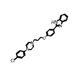 Clc1ccc(N2CCN(CCCOc3ccc(-c4nc5ccccc5[nH]4)cc3)CC2)cc1